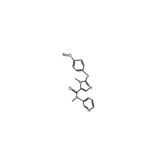 COc1ccc(Sc2ncc(C(=O)N(C)c3cccnc3)n2C)cc1